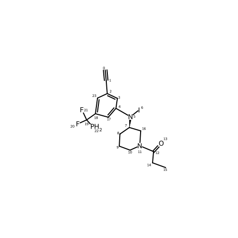 C#Cc1cc(N(I)[C@@H]2CCCN(C(=O)CC)C2)cc(C(F)(F)P)c1